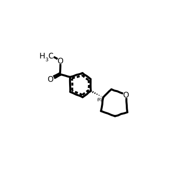 COC(=O)c1ccc([C@H]2CCCOC2)cc1